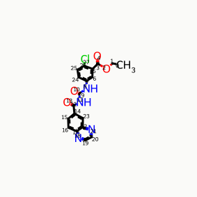 CCOC(=O)c1cc(NC(=O)NC(=O)c2ccc3nccnc3c2)ccc1Cl